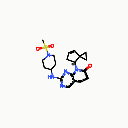 CS(=O)(=O)N1CCC(Nc2ncc3ccc(=O)n([C@H]4CC=CC45CC5)c3n2)CC1